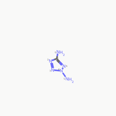 Nc1nnn(N)n1